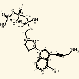 NCC#Cc1cn([C@H]2CC[C@@H](COP(=O)(O)OP(=O)(O)OP(=O)(O)O)O2)c2ncnc(N)c12